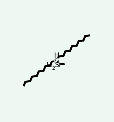 CCCCCCCCCC[SiH](CCCCCCCCCC)[SiH2]C